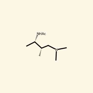 CC(=O)N[C@@H](C)[C@@H](C)CN(C)C